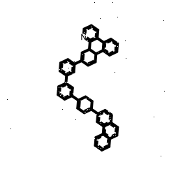 C1=CC2c3ccccc3-c3cccnc3C2C=C1c1cccc(-c2cccc(C3=CC=C(c4ccc5ccc6ccccc6c5c4)CC3)c2)c1